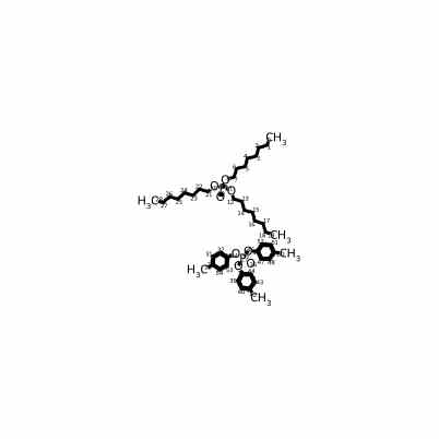 CCCCCCCCOP(=O)(OCCCCCCCC)OCCCCCCCC.Cc1ccc(OP(=O)(Oc2ccc(C)cc2)Oc2ccc(C)cc2)cc1